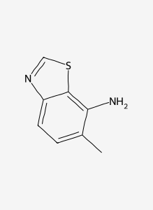 Cc1ccc2ncsc2c1N